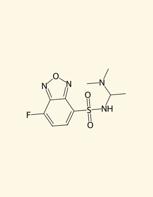 CC(NS(=O)(=O)c1ccc(F)c2nonc12)N(C)C